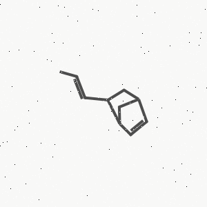 CC=CC1CC2C=CC1C2